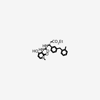 CCOC(=O)C[C@@H](NC(=O)Nc1c(O)ccn(C)c1=O)c1cccc(Cc2ccccc2C)c1